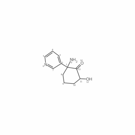 NC1(c2cccnc2)CCCC(O)C1=O